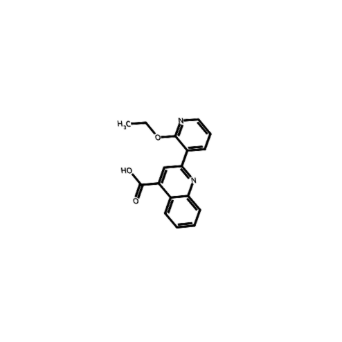 CCOc1ncccc1-c1cc(C(=O)O)c2ccccc2n1